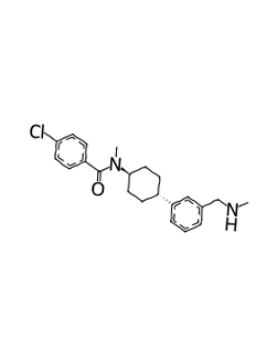 CNCc1cccc([C@H]2CC[C@H](N(C)C(=O)c3ccc(Cl)cc3)CC2)c1